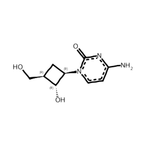 Nc1ccn([C@@H]2C[C@H](CO)[C@H]2O)c(=O)n1